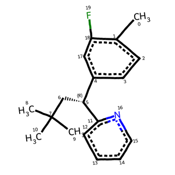 Cc1ccc([C@@H](CC(C)(C)C)c2ccccn2)cc1F